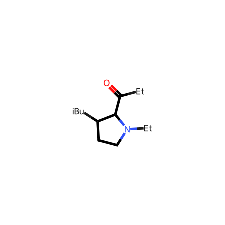 CCC(=O)C1C(C(C)CC)CCN1CC